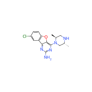 C[C@@H]1CN(c2nc(N)nc3c2oc2ccc(Cl)cc23)[C@@H](C)CN1